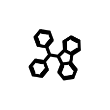 c1ccc(C(c2ccccc2)C2c3ccccc3-c3ccccc32)cc1